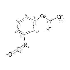 O=C=Nc1cccc(OC(F)C(F)(F)F)c1